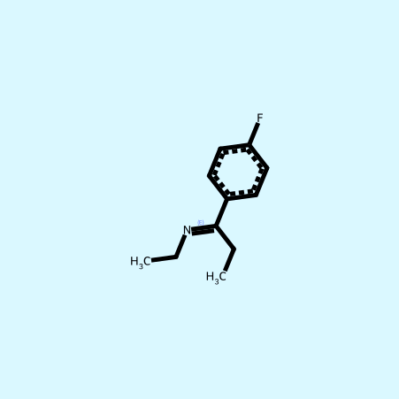 CC/N=C(\CC)c1ccc(F)cc1